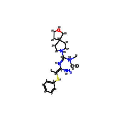 C/C(Sc1ccccc1)=C(N)\N=C(/N(C)C=O)N1CCC2(CCOC2)CC1